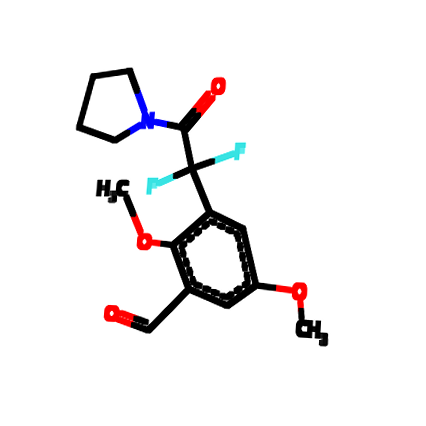 COc1cc(C=O)c(OC)c(C(F)(F)C(=O)N2CCCC2)c1